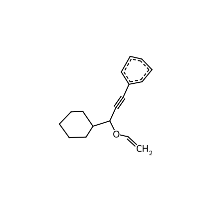 C=COC(C#Cc1ccccc1)C1CCCCC1